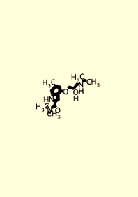 Cc1cc(OCC(O)CNC(C)C)c2cc(C(=O)N(C)C)[nH]c2c1